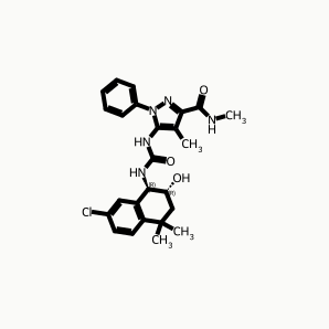 CNC(=O)c1nn(-c2ccccc2)c(NC(=O)N[C@@H]2c3cc(Cl)ccc3C(C)(C)C[C@H]2O)c1C